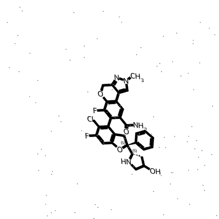 Cn1cc2c(n1)COc1c-2cc(C(N)=O)c(-c2c(Cl)c(F)cc3c2C[C@](c2ccccc2)([C@@H]2CC(O)CN2)O3)c1F